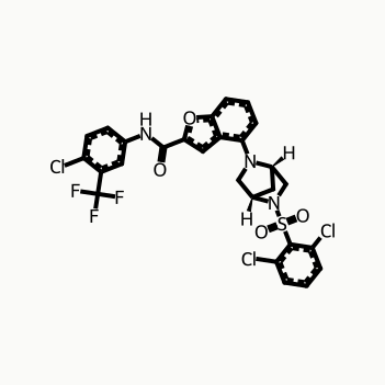 O=C(Nc1ccc(Cl)c(C(F)(F)F)c1)c1cc2c(N3C[C@@H]4C[C@H]3CN4S(=O)(=O)c3c(Cl)cccc3Cl)cccc2o1